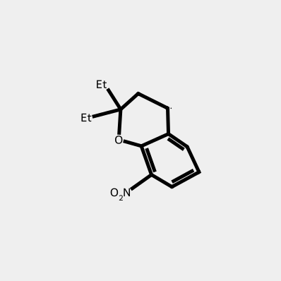 CCC1(CC)C[CH]c2cccc([N+](=O)[O-])c2O1